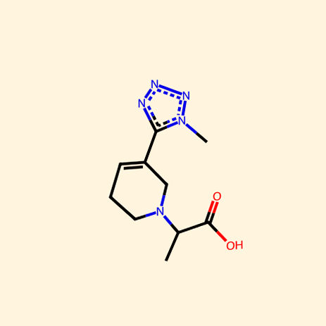 CC(C(=O)O)N1CCC=C(c2nnnn2C)C1